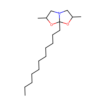 CCCCCCCCCCCC12OC(C)CN1CC(C)O2